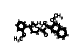 COc1ccccc1N1CCN(C(=O)N(C)c2nc3ccccc3nc2OC)CC1